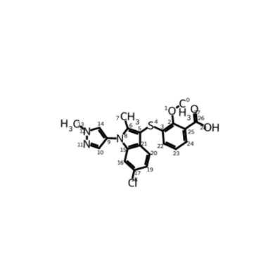 COc1c(Sc2c(C)n(-c3cnn(C)c3)c3cc(Cl)ccc23)cccc1C(=O)O